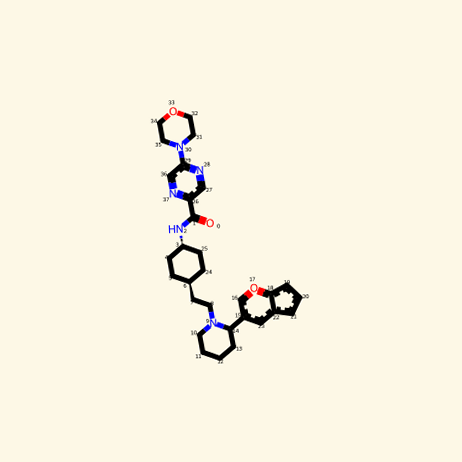 O=C(N[C@H]1CC[C@H](CCN2CCCCC2c2coc3cccc-3c2)CC1)c1cnc(N2CCOCC2)cn1